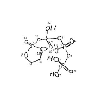 O=P(O)(O)OP(=O)(O)OP(=O)(O)OP1(=O)OCCO1